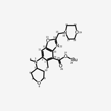 Cc1c(N(C)C2CCOCC2)cc2oc(CN3CCOCC3)nc2c1C(=O)OC(C)(C)C